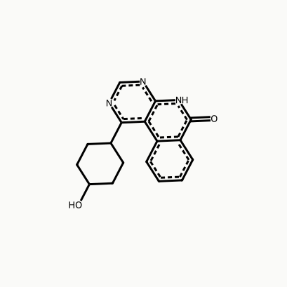 O=c1[nH]c2ncnc(C3CCC(O)CC3)c2c2ccccc12